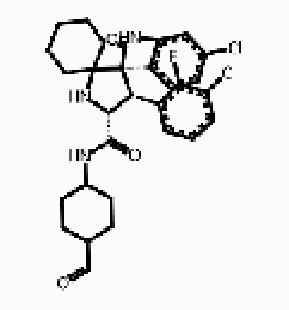 O=CC1CCC(NC(=O)[C@@H]2NC3(CCCCC3)[C@@]3(C(=O)Nc4cc(Cl)ccc43)[C@H]2c2cccc(Cl)c2F)CC1